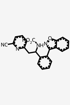 N#Cc1cccc(CC(NC(=O)O)c2ccccc2-c2noc3ccccc23)n1